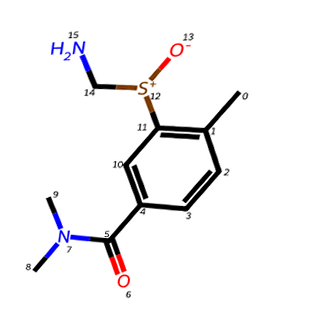 Cc1ccc(C(=O)N(C)C)cc1[S+]([O-])CN